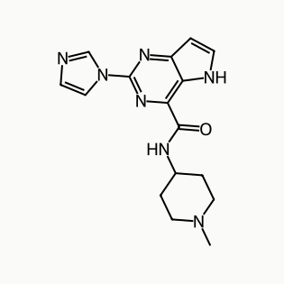 CN1CCC(NC(=O)c2nc(-n3ccnc3)nc3cc[nH]c23)CC1